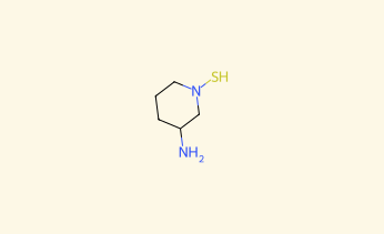 NC1CCCN(S)C1